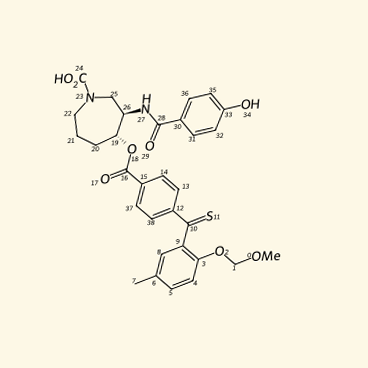 COCOc1ccc(C)cc1C(=S)c1ccc(C(=O)O[C@@H]2CCCN(C(=O)O)C[C@H]2NC(=O)c2ccc(O)cc2)cc1